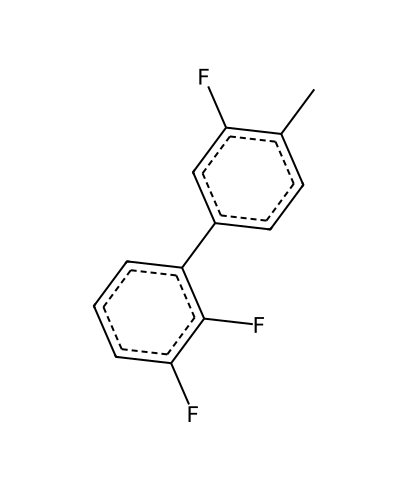 Cc1ccc(-c2cccc(F)c2F)cc1F